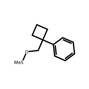 CSOCC1(c2ccccc2)CCC1